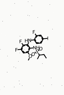 CCC(C)S(=O)(=O)Nc1c(OC)cc(F)c(F)c1Nc1ccc(I)cc1F